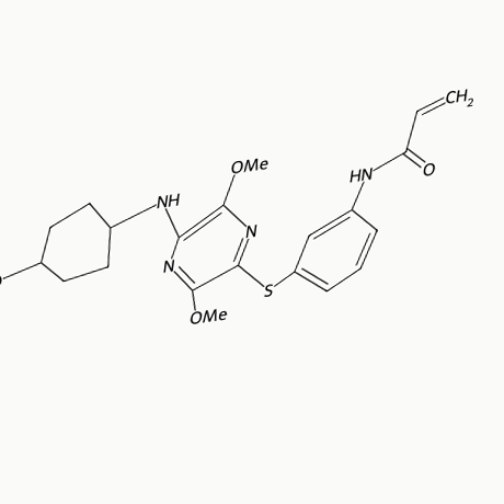 C=CC(=O)Nc1cccc(Sc2nc(OC)c(NC3CCC(O)CC3)nc2OC)c1